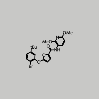 COc1ccc(NC(=O)c2ccc(Oc3cc(C(C)(C)C)ccc3Br)o2)c(OC)n1